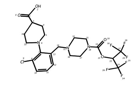 O=C(O)C1CCN(c2c(Cl)cccc2CN2CCN(C(=O)OC(C(F)(F)F)C(F)(F)F)CC2)CC1